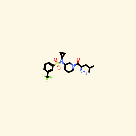 CC(C)CC(N)C(=O)N1CCCC(N(C2CC2)S(=O)(=O)c2cccc(C(F)(F)F)c2)C1